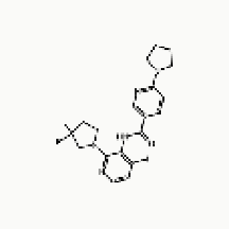 O=C(Nc1c(I)ccnc1N1CCC(F)(F)C1)c1ccc(N2CCCC2)nc1